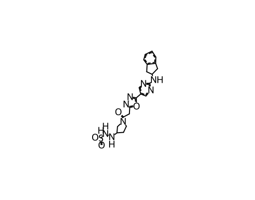 O=C(Cc1nnc(-c2cnc(NC3Cc4ccccc4C3)nc2)o1)N1CCC(NN[SH](=O)=O)C1